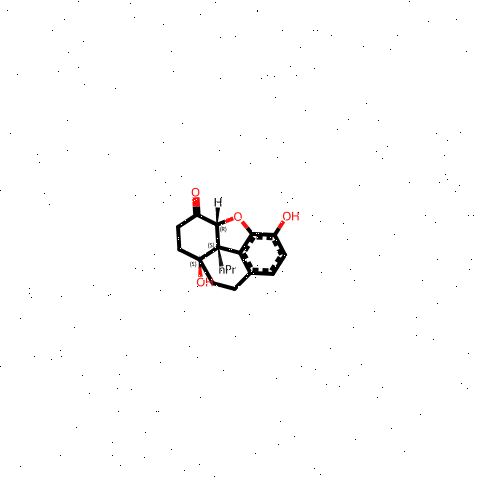 CCC[C@]12c3c4ccc(O)c3O[C@H]1C(=O)CC[C@@]2(O)CC4